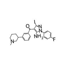 CN1CCCC(c2cccc(C(=O)c3c(I)nn(-c4ccc(F)cc4)c3N)c2)C1